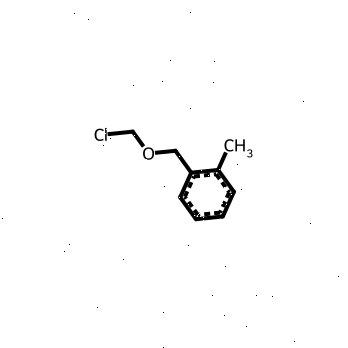 Cc1ccccc1COCCl